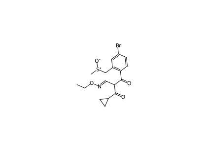 CCON=CC(C(=O)c1ccc(Br)cc1C[S+](C)[O-])C(=O)C1CC1